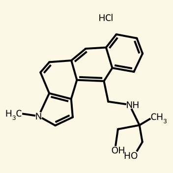 Cl.Cn1ccc2c3c(CNC(C)(CO)CO)c4ccccc4cc3ccc21